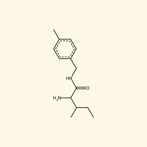 CCC(C)C(N)C(=O)NCc1ccc(C)cc1